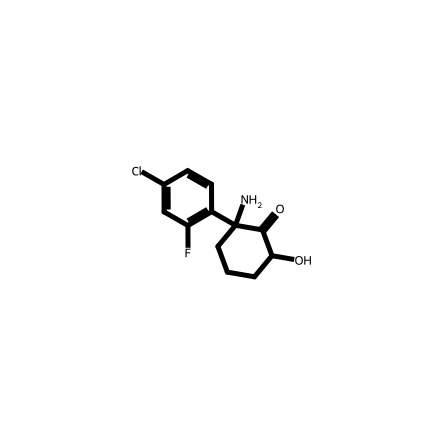 NC1(c2ccc(Cl)cc2F)CCCC(O)C1=O